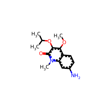 COc1c(OC(C)C)c(=O)n(C)c2cc(N)ccc12